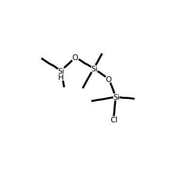 C[SiH](C)O[Si](C)(C)O[Si](C)(C)Cl